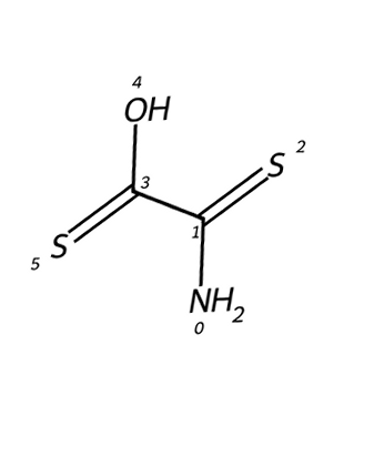 NC(=S)C(O)=S